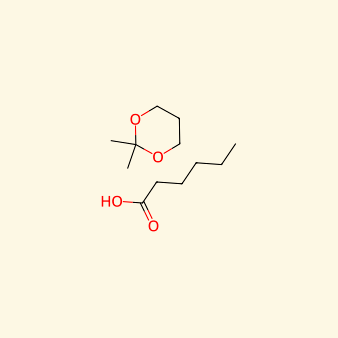 CC1(C)OCCCO1.CCCCCC(=O)O